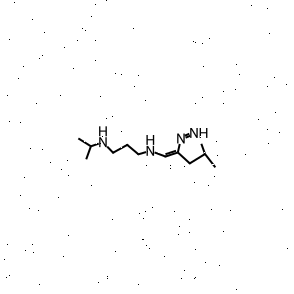 CC(C)C/C(=C/NCCCNC(C)C)N=N